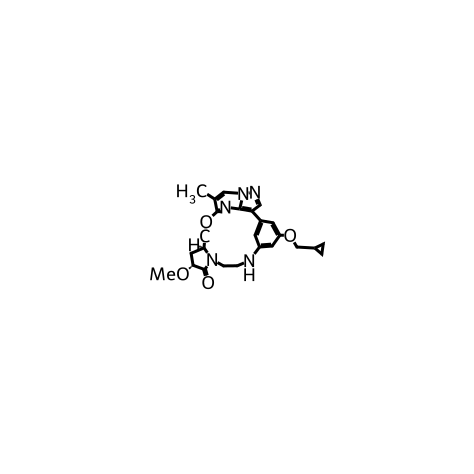 CO[C@@H]1C[C@H]2COc3nc4c(cnn4cc3C)-c3cc(cc(OCC4CC4)c3)NCCN2C1=O